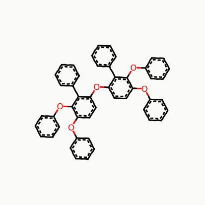 c1ccc(Oc2ccc(Oc3ccc(Oc4ccccc4)c(Oc4ccccc4)c3-c3ccccc3)c(-c3ccccc3)c2Oc2ccccc2)cc1